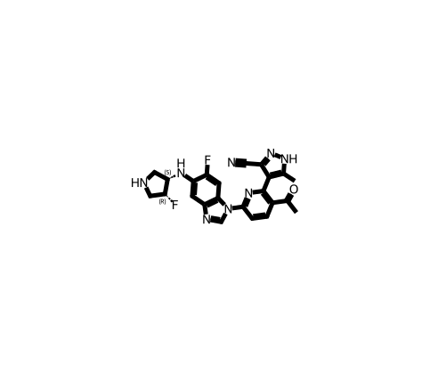 CC(=O)c1ccc(-n2cnc3cc(N[C@H]4CNC[C@H]4F)c(F)cc32)nc1-c1c(C#N)n[nH]c1C